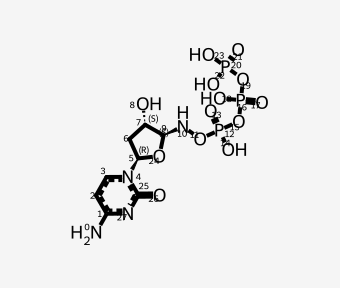 Nc1ccn([C@H]2C[C@H](O)[C@@H](NOP(=O)(O)OP(=O)(O)OP(=O)(O)O)O2)c(=O)n1